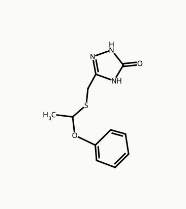 CC(Oc1ccccc1)SCc1n[nH]c(=O)[nH]1